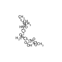 C=C/C=C/C(C)=C/N(C)C(=O)Nc1ccc(CC(=O)N(C)c2ccc(C3CN(C(=O)c4cc(C)on4)CC3C(=O)O)cc2)cc1